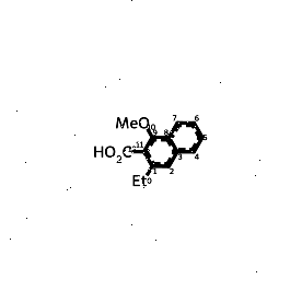 CCc1cc2ccccc2c(OC)c1C(=O)O